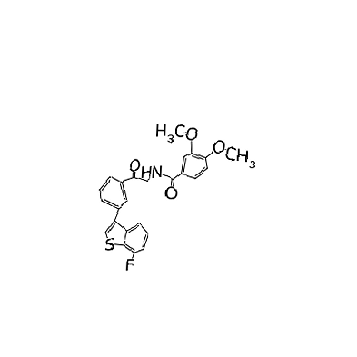 COc1ccc(C(=O)NCC(=O)c2cccc(-c3csc4c(F)cccc34)c2)cc1OC